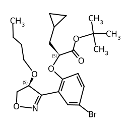 CCCCO[C@@H]1CON=C1c1cc(Br)ccc1O[C@@H](CC1CC1)C(=O)OC(C)(C)C